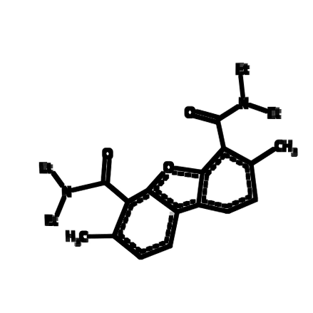 CCN(CC)C(=O)c1c(C)ccc2c1oc1c(C(=O)N(CC)CC)c(C)ccc12